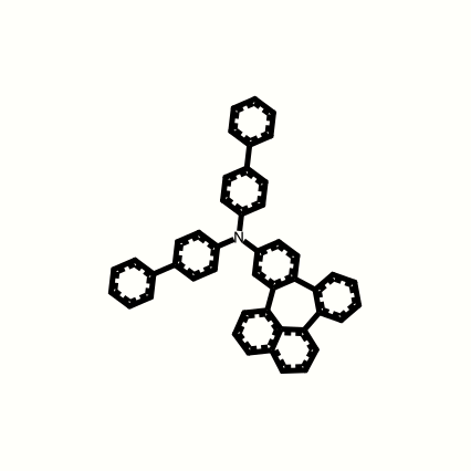 c1ccc(-c2ccc(N(c3ccc(-c4ccccc4)cc3)c3ccc4c(c3)-c3cccc5cccc(c35)-c3ccccc3-4)cc2)cc1